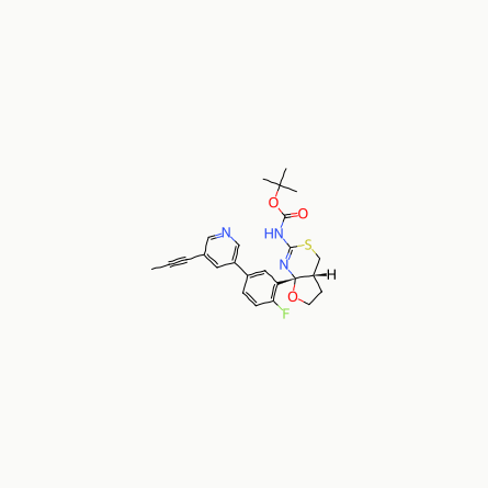 CC#Cc1cncc(-c2ccc(F)c([C@@]34N=C(NC(=O)OC(C)(C)C)SC[C@@H]3CCO4)c2)c1